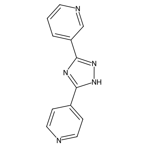 c1cncc(-c2n[nH]c(-c3ccncc3)n2)c1